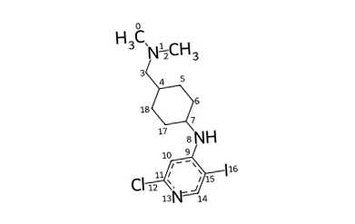 CN(C)CC1CCC(Nc2cc(Cl)ncc2I)CC1